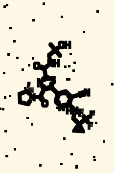 C[C@H]1CCCN1C(=O)c1nc(C(=O)NCC(C)(C)O)sc1-c1cnc(NCC2(C(F)(F)F)CC2)c(C#N)c1